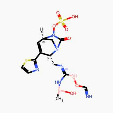 CB(O)N/C(BOC=N)=N\C[C@@H]1C(c2nccs2)=C[C@@H]2CN1C(=O)N2OS(=O)(=O)O